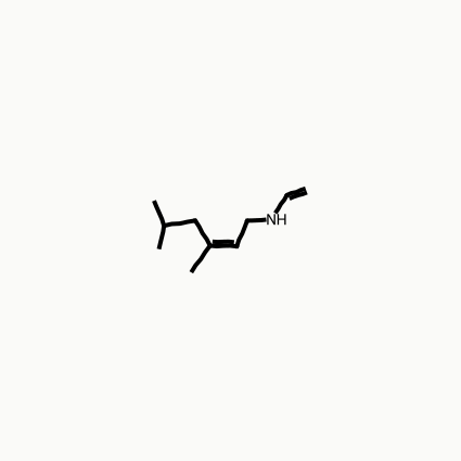 C=CNC/C=C(/C)CC(C)C